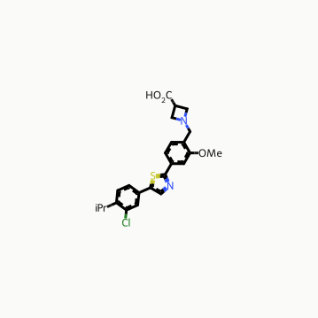 COc1cc(-c2ncc(-c3ccc(C(C)C)c(Cl)c3)s2)ccc1CN1CC(C(=O)O)C1